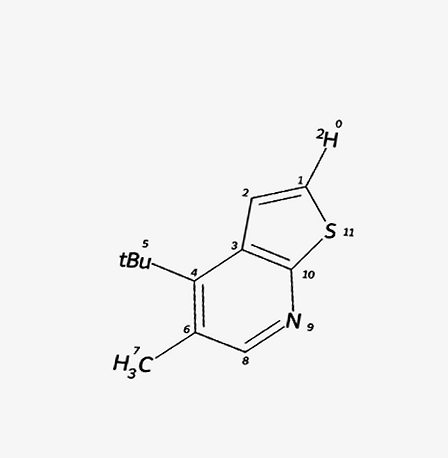 [2H]c1cc2c(C(C)(C)C)c(C)cnc2s1